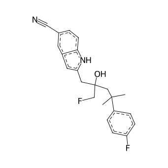 CC(C)(CC(O)(CF)Cc1cc2cc(C#N)ccc2[nH]1)c1ccc(F)cc1